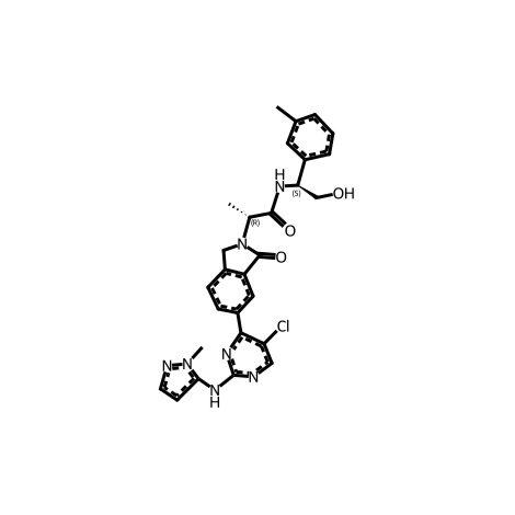 Cc1cccc([C@@H](CO)NC(=O)[C@@H](C)N2Cc3ccc(-c4nc(Nc5ccnn5C)ncc4Cl)cc3C2=O)c1